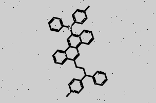 Cc1ccc(C(CCc2cc3c4ccccc4c(N(c4ccccc4)c4ccc(C)cc4)cc3c3ccccc23)c2ccccc2)cc1